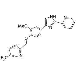 COc1cc(-c2c[nH]c(-c3ccccn3)n2)ccc1OCc1ccc(C(F)(F)F)cn1